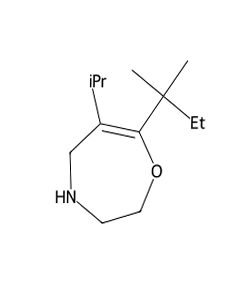 CCC(C)(C)C1=C(C(C)C)CNCCO1